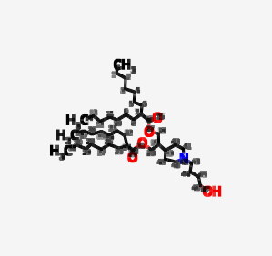 CCCCCCCC(CCCCCCC)C(=O)OCC(COC(=O)C(CCCCCCC)CCCCCCC)C1CCN(CCCCO)CC1